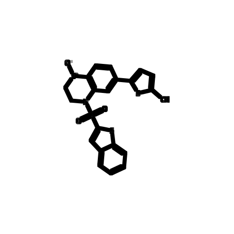 N#Cc1ccc(-c2ccc3c(c2)N(S(=O)(=O)c2cc4ccccc4s2)CC[S+]3[O-])s1